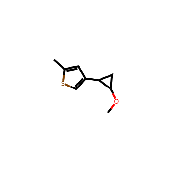 COC1CC1c1csc(C)c1